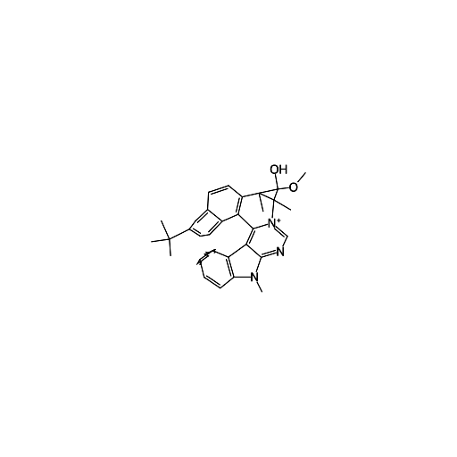 COC1(O)C2(C)c3ccc4cc(C(C)(C)C)ccc4c3-c3c4c5c6ccccc6ccc5n(C)c4nc[n+]3C12C